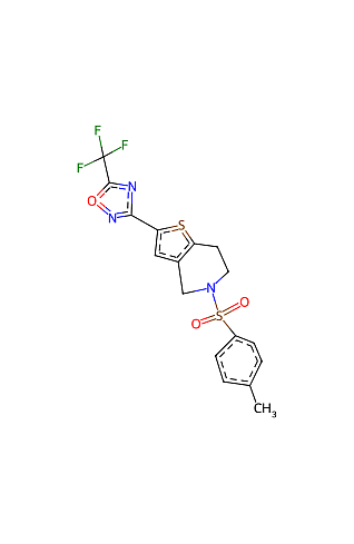 Cc1ccc(S(=O)(=O)N2CCc3sc(-c4noc(C(F)(F)F)n4)cc3C2)cc1